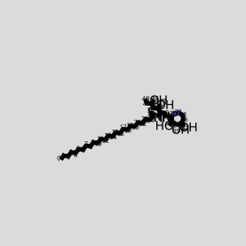 CCCCCCCCCCCCCCCCCCCCCCCCCC(=S)NC(CNC1/C=C\CCC(O)C(O)C1O)C(O)CC(O)CC